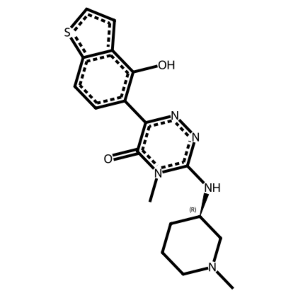 CN1CCC[C@@H](Nc2nnc(-c3ccc4sccc4c3O)c(=O)n2C)C1